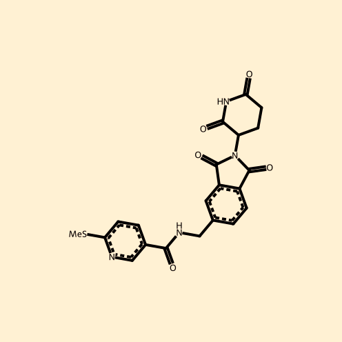 CSc1ccc(C(=O)NCc2ccc3c(c2)C(=O)N(C2CCC(=O)NC2=O)C3=O)cn1